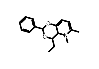 CCC1OC(c2ccccc2)OC2=CC=C(C)N(C)C21